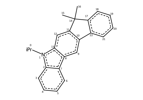 CC(C)n1c2ccccc2c2cc3c(cc21)C(C)(C)c1ccccc1-3